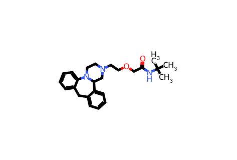 CC(C)(C)NC(=O)COCCN1CCN2c3ccccc3Cc3ccccc3C2C1